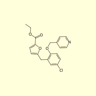 CCOC(=O)c1ccc(Cc2cc(Cl)ccc2OCc2ccncc2)o1